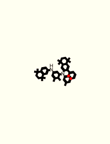 CC1=CC(Nc2ccc3c(c2)C(C)(C)CCC3(C)C)=CC(N(C2=CC3C(C=C2c2ccccc2)C(C)(C)CCC3(C)C)c2cccc(C)c2)C1C